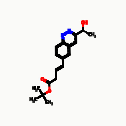 C[C@@H](O)c1cc2cc(/C=C/CC(=O)OC(C)(C)C)ccc2nn1